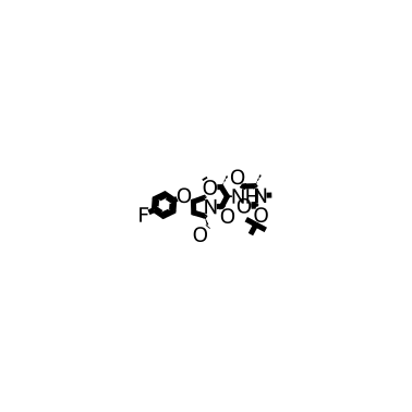 CO[C@H](C)[C@H](NC(=O)[C@H](C)N(C)C(=O)OC(C)(C)C)C(=O)N1C[C@@H](Oc2ccc(F)cc2)C[C@H]1C=O